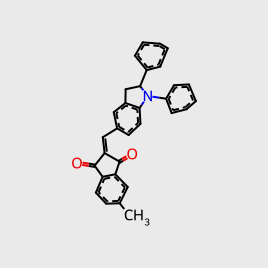 Cc1ccc2c(c1)C(=O)/C(=C\c1ccc3c(c1)CC(c1ccccc1)N3c1ccccc1)C2=O